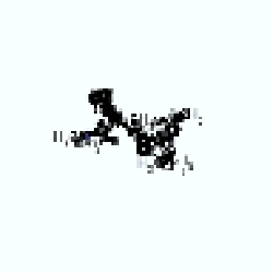 C=CC(=O)N1CCN(c2nc(OC(C)CN(C)C)nc3c2CO[C@H](c2cc(C4C[C@@H](COc5nc6c(c(N7CCN(C(=O)/C=C/CN(C)C)[C@@H](CC#N)C7)n5)CO[C@H](c5cccc7cccc(Cl)c57)C6)N(C)C4)cc4cccc(Cl)c24)C3)C[C@@H]1CC#N